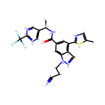 Cc1cnc(-c2cc(C(=O)N[C@H](C)c3cnc(C(F)(F)F)nc3)cc3c2cnn3CCC#N)s1